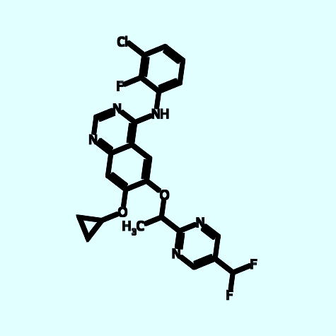 CC(Oc1cc2c(Nc3cccc(Cl)c3F)ncnc2cc1OC1CC1)c1ncc(C(F)F)cn1